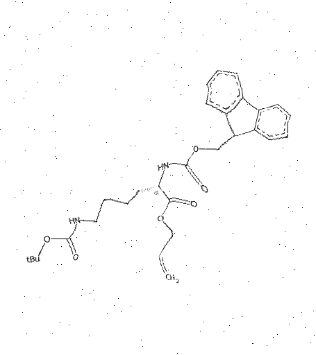 C=CCOC(=O)[C@H](CCCCNC(=O)OC(C)(C)C)NC(=O)OCC1c2ccccc2-c2ccccc21